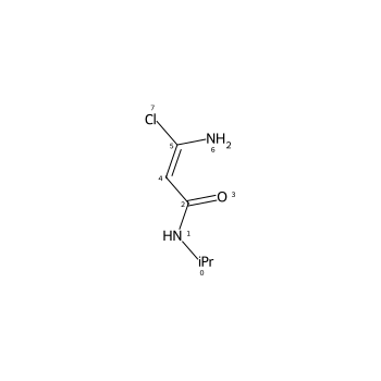 CC(C)NC(=O)/C=C(\N)Cl